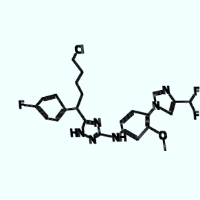 COc1cc(Nc2n[nH]c(C(CCCCCl)c3ccc(F)cc3)n2)ccc1-n1cnc(C(F)F)c1